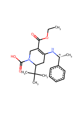 CCOC(=O)C1=C(N[C@H](C)c2ccccc2)CC(C(C)(C)C)N(C(=O)O)C1